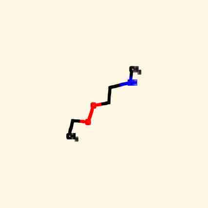 CCOOCCNC